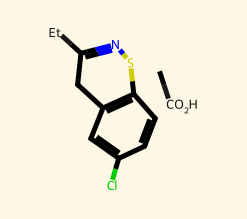 CC(=O)O.CCC1=NSc2ccc(Cl)cc2C1